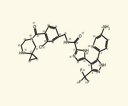 Nc1ccc(-c2[nH]nc(C(F)(F)F)c2-c2cnc(C(=O)NCc3ccc(C(=O)N4CCNC5(CC5)C4)c(Cl)c3)[nH]2)nc1